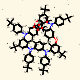 CC(C)(C)c1ccc(N2c3cc4c(cc3B3c5cc(C(C)(C)C)ccc5Oc5cc(C(C)(C)C)cc2c53)B2c3cc5c(cc3N(c3ccc(C(C)(C)C)cc3)c3cc(C(C)(C)C)cc(c32)O4)N(c2ccc(C(C)(C)C)cc2)c2cc(C(C)(C)C)cc3c2B5c2cc(C(C)(C)C)ccc2N3c2ccc(C(C)(C)C)cc2)cc1